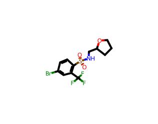 O=S(=O)(NCC1CCCO1)c1ccc(Br)cc1C(F)(F)F